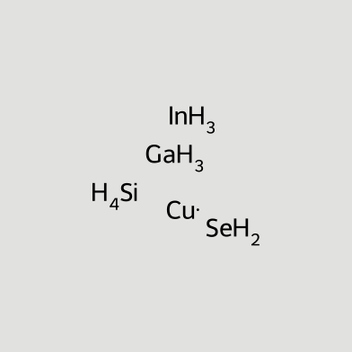 [Cu].[GaH3].[InH3].[SeH2].[SiH4]